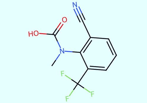 CN(C(=O)O)c1c(C#N)cccc1C(F)(F)F